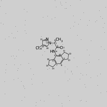 C[C](C(=O)Nc1c2c(cc3c1CCC3)CCC2)n1cc(Cl)cn1